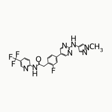 Cn1cc(Nc2ncc(-c3ccc(CC(=O)Nc4ccc(C(F)(F)F)cn4)c(F)c3)cn2)cn1